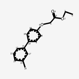 CCOC(=O)COc1ccc(-c2cccc(C)c2)cc1